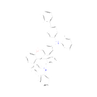 c1ccc(-c2ccc(N(c3ccccc3)c3ccc4c(c3)Oc3ccccc3C43c4ccccc4-n4c5ccccc5c5cccc3c54)cc2)cc1